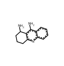 Nc1c2c(nc3ccccc13)CCCC2N